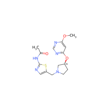 COc1cc(O[C@H]2CCN(Cc3cnc(NC(C)=O)s3)C2)ncn1